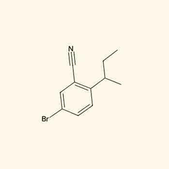 CCC(C)c1ccc(Br)cc1C#N